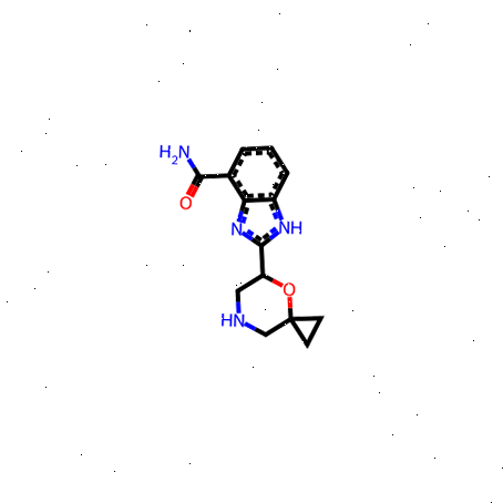 NC(=O)c1cccc2[nH]c(C3CNCC4(CC4)O3)nc12